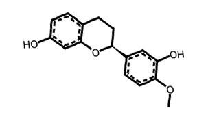 COc1ccc([C@@H]2CCc3ccc(O)cc3O2)cc1O